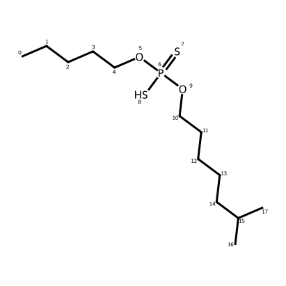 CCCCCOP(=S)(S)OCCCCCC(C)C